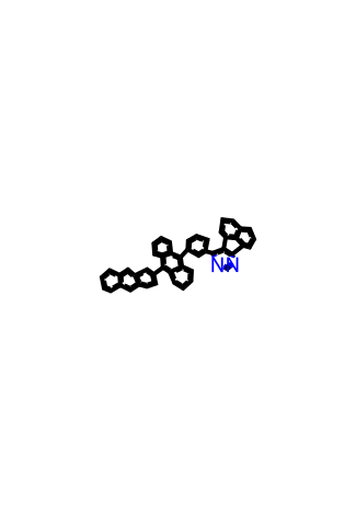 c1cc(-c2ncnc3c2-c2cccc4cccc-3c24)cc(-c2c3ccccc3c(-c3ccc4cc5ccccc5cc4c3)c3ccccc23)c1